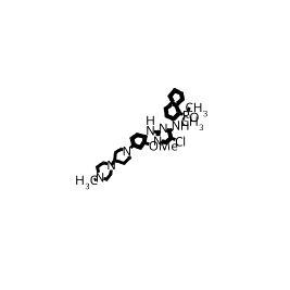 COc1cc(N2CCC(N3CCN(C)CC3)CC2)ccc1Nc1ncc(Cl)c(Nc2ccc3ccccc3c2P(C)(C)=O)n1